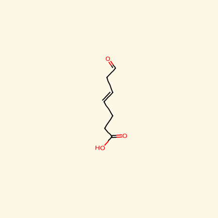 O=CC/C=C/CCC(=O)O